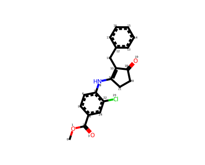 COC(=O)c1ccc(NC2=C(Cc3ccccc3)C(=O)CC2)c(Cl)c1